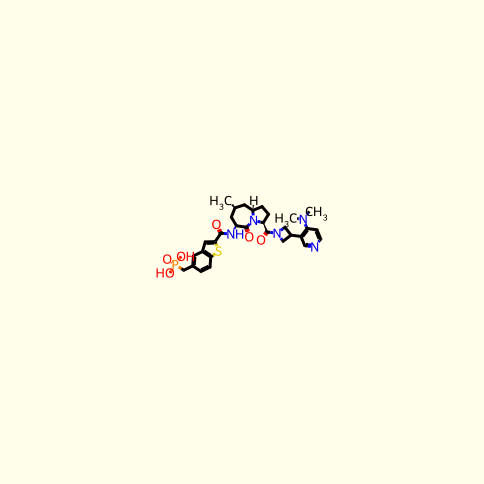 C[C@H]1C[C@H]2CC[C@@H](C(=O)N3CC(c4cnccc4N(C)C)C3)N2C(=O)[C@@H](NC(=O)c2cc3cc(CP(=O)(O)O)ccc3s2)C1